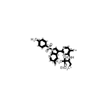 CCOC(=O)CC(Nc1nc(-c2cn(S(=O)(=O)c3ccc(C)cc3)c3ncc(F)cc23)ncc1F)C(C)(C)CC